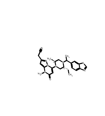 CC[C@@H]1CN(c2cc(=O)n(C)c3cc(CC#N)nn23)[C@@H](C)CN1C(C)c1ccc2ncsc2c1